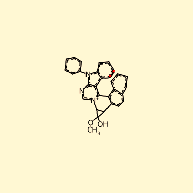 COC1(O)C2c3ccc4ccccc4c3-c3c4c5c6ccccc6ccc5n(-c5ccccc5)c4nc[n+]3C21